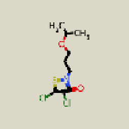 CC(C)OCCCn1sc(Cl)c(Cl)c1=O